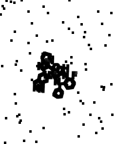 Cn1ncc2cc(-c3nn4cccnc4c3C(=O)N[C@H]3N=C(c4ccccc4)c4cccc(F)c4NC3=O)ccc21